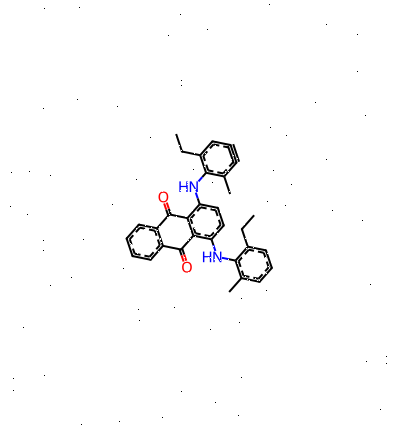 CCc1cc#cc(C)c1Nc1ccc(Nc2c(C)cccc2CC)c2c1C(=O)c1ccccc1C2=O